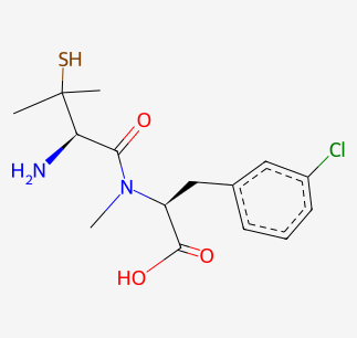 CN(C(=O)[C@@H](N)C(C)(C)S)[C@@H](Cc1cccc(Cl)c1)C(=O)O